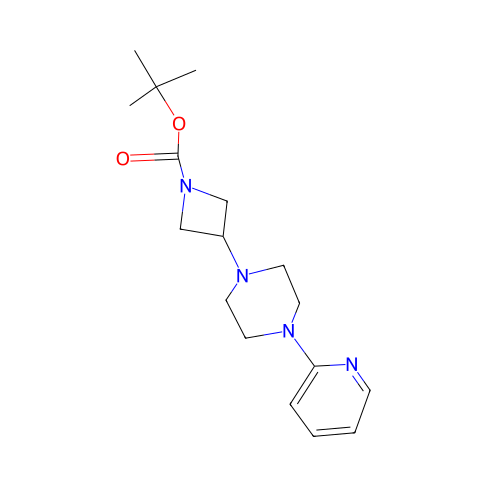 CC(C)(C)OC(=O)N1CC(N2CCN(c3ccccn3)CC2)C1